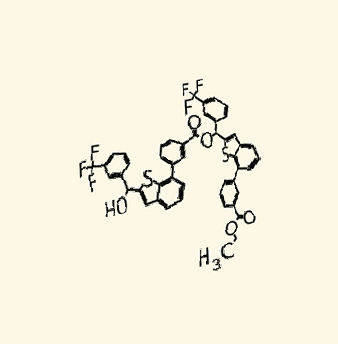 CCOC(=O)c1cccc(-c2cccc3cc(C(OC(=O)c4cccc(-c5cccc6cc(C(O)c7cccc(C(F)(F)F)c7)sc56)c4)c4cccc(C(F)(F)F)c4)sc23)c1